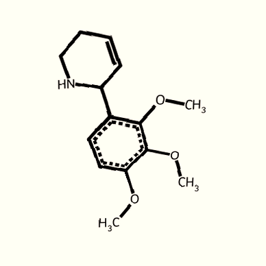 COc1ccc(C2C=CCCN2)c(OC)c1OC